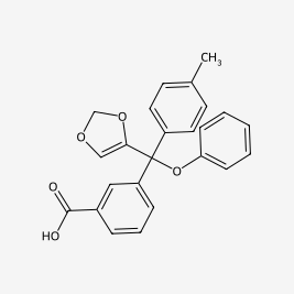 Cc1ccc(C(Oc2ccccc2)(C2=COCO2)c2cccc(C(=O)O)c2)cc1